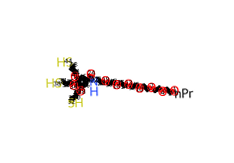 CCCOCCOCCOCCOCCOCCOCCOCCNC(=O)c1cc(OCCCS)c(OCCCS)c(OCCCS)c1